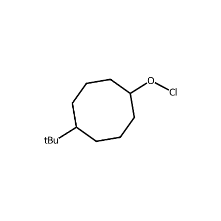 CC(C)(C)C1CCCC(OCl)CCC1